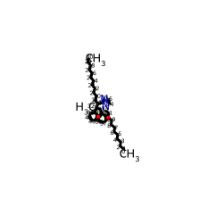 CCCCCCCCCCCCCn1ccnc1C(CCCCCCCCCCCC)C(C)(Cc1ccccc1)c1ccccc1